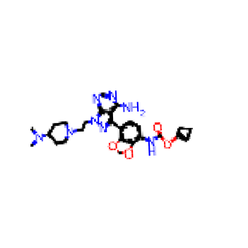 CN(C)C1CCN(CCn2nc(-c3ccc(NC(=O)OC4C5CC4C5)c4c3OCO4)c3c(N)ncnc32)CC1